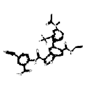 CCNC(=O)c1cc2onc(C(=O)Nc3ccc(C#N)cc3C(=O)O)c2cc1-c1ccc(N(C)C(C)=O)cc1C(F)(F)F